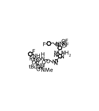 CN[C@@H](C)C(=O)N[C@H](C(=O)N1CC(NC(=O)COCCn2cc(-c3cnc(N)c4c(-c5ccc(NS(=O)(=O)C(F)F)c(OCCc6ccc(F)cc6)c5)nn(C)c34)cn2)C[C@H]1C(=O)Nc1c(F)cccc1F)C(C)(C)C